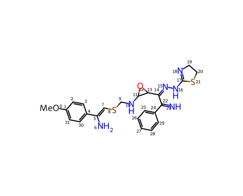 COc1ccc(/C(N)=C/SCNC2OC2/C(=N/NC2=NCCS2)C(=N)c2ccccc2)cc1